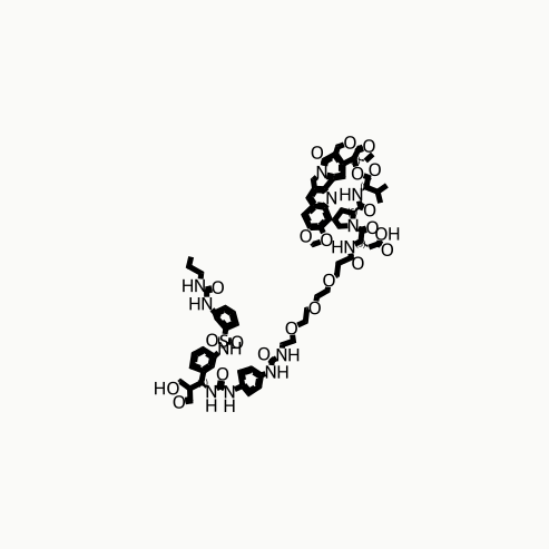 CCCNC(=O)Nc1cccc(S(=O)(=O)Nc2cccc([C@@H](NC(=O)Nc3ccc(NC(=O)NCCOCCOCCOCCC(=O)N[C@@H](CC(=O)O)C(=O)N4CCC[C@H]4C(=O)N[C@H](C(=O)O[C@]4(CC)C(=O)OCc5c4cc4n(c5=O)Cc5cc6cc7c(cc6nc5-4)OCO7)C(C)C)cc3)C(C=O)CO)c2)c1